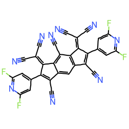 N#CC(C#N)=C1C(c2cc(F)nc(F)c2)=C(C#N)c2cc3c(c(C#N)c21)C(=C(C#N)C#N)C(c1cc(F)nc(F)c1)=C3C#N